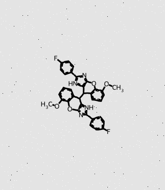 COc1cccc2c1Oc1nc(-c3ccc(F)cc3)[nH]c1C2C1c2cccc(OC)c2Oc2nc(-c3ccc(F)cc3)[nH]c21